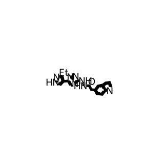 CCc1n[nH]cc1-c1cnc(NNC(=O)Cc2ccc3ncccc3c2)nn1